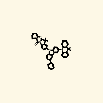 CC1(C)c2cc(-n3c4ccc(-c5ccccc5)cc4c4cc(N5c6ccccc6C(C)(C)C6C=CC=CC65)ccc43)ccc2-n2c1nc1ccccc1c2=O